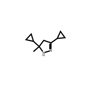 CC1(C2CC2)CC(C2CC2)=NN1